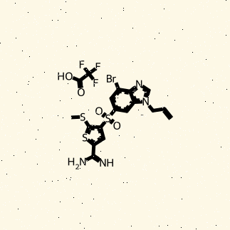 C=CCn1cnc2c(Br)cc(S(=O)(=O)c3cc(C(=N)N)sc3SC)cc21.O=C(O)C(F)(F)F